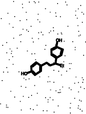 CCC(CCc1ccc(O)cc1)c1ccc(O)cc1